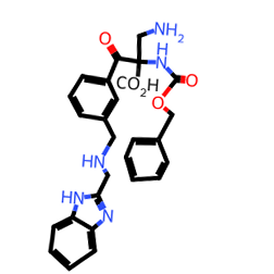 NCC(NC(=O)OCc1ccccc1)(C(=O)O)C(=O)c1cccc(CNCc2nc3ccccc3[nH]2)c1